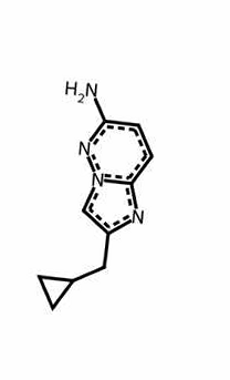 Nc1ccc2nc(CC3CC3)cn2n1